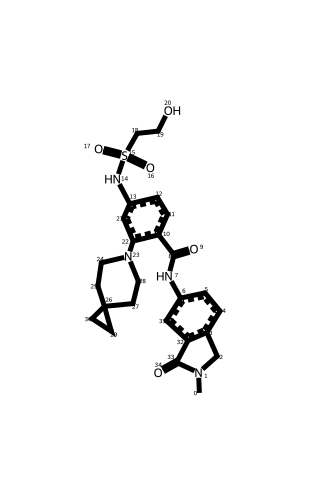 CN1Cc2ccc(NC(=O)c3ccc(NS(=O)(=O)CCO)cc3N3CCC4(CC3)CC4)cc2C1=O